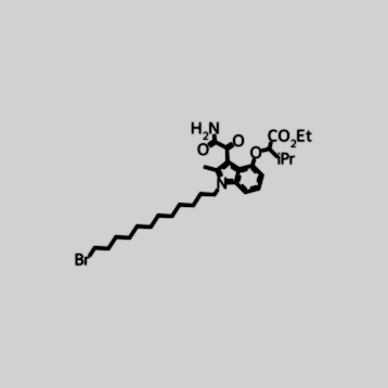 CCOC(=O)C(Oc1cccc2c1c(C(=O)C(N)=O)c(C)n2CCCCCCCCCCCCBr)C(C)C